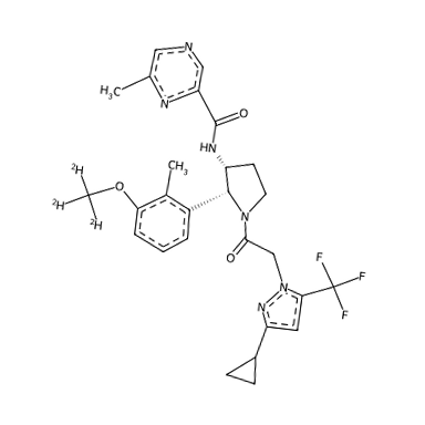 [2H]C([2H])([2H])Oc1cccc([C@@H]2[C@H](NC(=O)c3cncc(C)n3)CCN2C(=O)Cn2nc(C3CC3)cc2C(F)(F)F)c1C